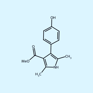 COC(=O)c1c(C)[nH]c(C)c1-c1ccc(O)cc1